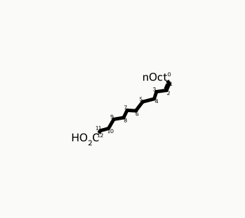 CCCCCCCC/C=C\CCCCCCCCCC(=O)O